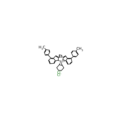 CCC1=Cc2c(-c3ccc(C)cc3)cccc2[CH]1[Ti+2]1([CH]2C(CC)=Cc3c(-c4ccc(C)cc4)cccc32)[CH]2CCCC[CH]21.[Cl-].[Cl-]